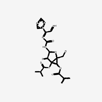 CC(C)C(=O)OC1C2(CCl)OC(NC(=O)/N=C(\C=N)n3cncn3)C(F)C12OC(=O)C(C)C